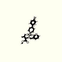 COC(=O)C(C(C)C)N(Cc1cccnc1)S(=O)(=O)N1CCC(c2ccc(Br)cc2)CC1